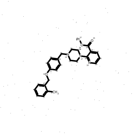 Cc1ccccc1COc1ccc(CN2CCN(c3ncccc3C(=O)OC(C)C)CC2)cc1